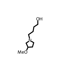 COC1CCN(CCCCO)C1